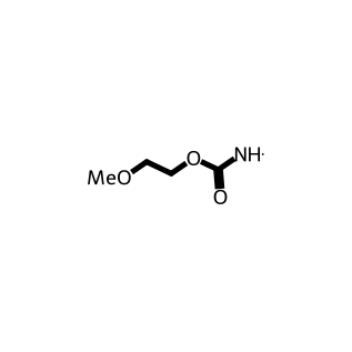 COCCOC([NH])=O